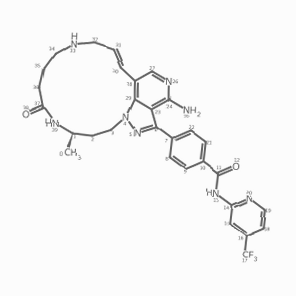 C[C@@H]1CCn2nc(-c3ccc(C(=O)Nc4cc(C(F)(F)F)ccn4)cc3)c3c(N)ncc(c32)/C=C/CNCCCC(=O)N1